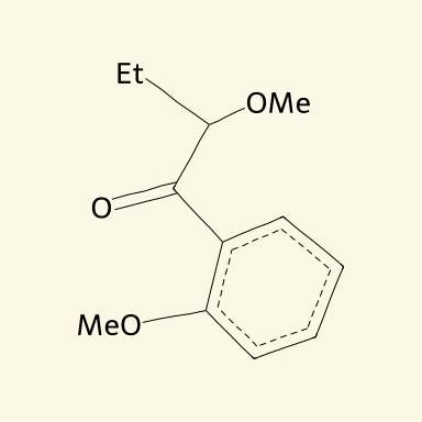 CCC(OC)C(=O)c1ccccc1OC